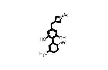 CC(=O)N1CC(Cc2cc(O)c(C3C=C(C)CC[C@H]3C(C)C)c(O)c2)C1